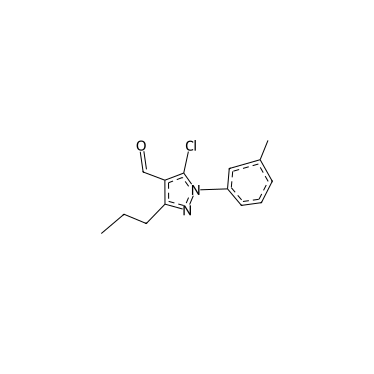 CCCc1nn(-c2cccc(C)c2)c(Cl)c1C=O